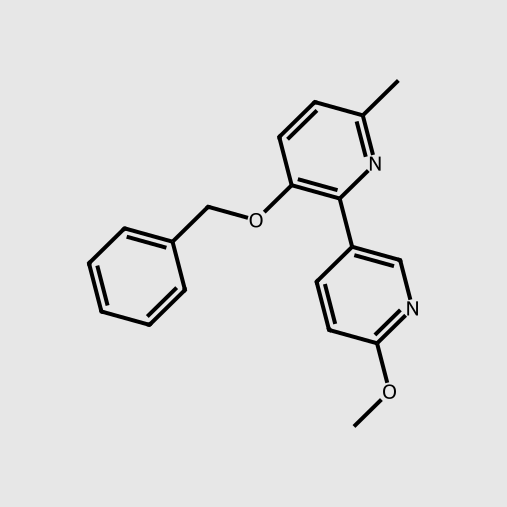 COc1ccc(-c2nc(C)ccc2OCc2ccccc2)cn1